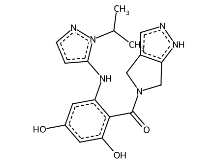 CC(C)n1nccc1Nc1cc(O)cc(O)c1C(=O)N1Cc2cn[nH]c2C1